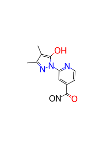 Cc1nn(-c2cc(C(=O)N=O)ccn2)c(O)c1C